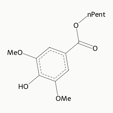 CCCCCOC(=O)c1cc(OC)c(O)c(OC)c1